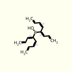 C=C/C=C\C(=C/C=C)B(O)C(/C=C\C=C)=C/C=C